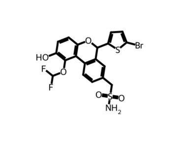 NS(=O)(=O)Cc1ccc2c(c1)C(c1ccc(Br)s1)Oc1ccc(O)c(OC(F)F)c1-2